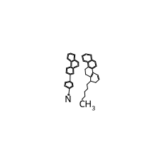 CCCCCCC1CC=CC2=C1CCc1c2ccc2ccccc12.N#Cc1ccc(-c2ccc3c(ccc4ccccc43)c2)cc1